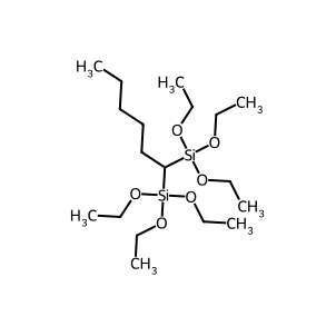 CCCCCC([Si](OCC)(OCC)OCC)[Si](OCC)(OCC)OCC